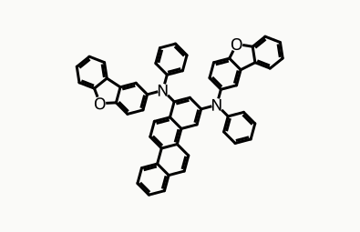 c1ccc(N(c2ccc3oc4ccccc4c3c2)c2cc(N(c3ccccc3)c3ccc4oc5ccccc5c4c3)c3ccc4c5ccccc5ccc4c3c2)cc1